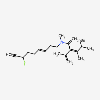 C#CC(F)CCC=CCCN(C)C(=C)/C(C(=C)C)=C(/C)C(C)CCCC